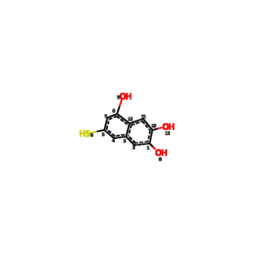 Oc1cc2cc(S)cc(O)c2cc1O